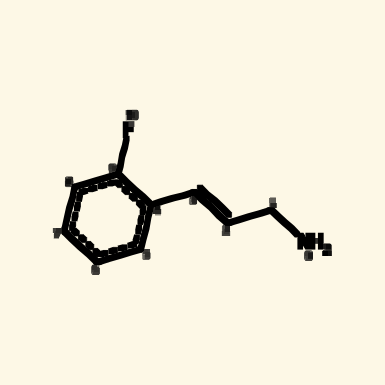 NCC=Cc1ccccc1F